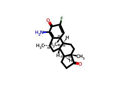 C[C@H]1C[C@@H]2[C@H](CC[C@]3(C)C(=O)CC[C@@H]23)[C@@]2(C)C=C(F)C(=O)C(N)=C12